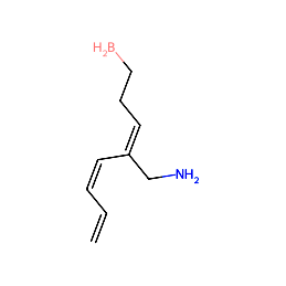 BCC/C=C(\C=C/C=C)CN